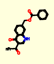 CCCC(=O)c1c[nH]c2cc(COC(=O)c3ccccc3)ccc2c1=O